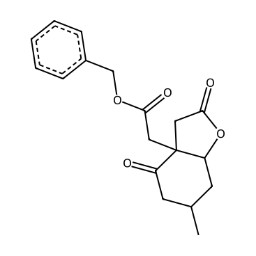 CC1CC(=O)C2(CC(=O)OCc3ccccc3)CC(=O)OC2C1